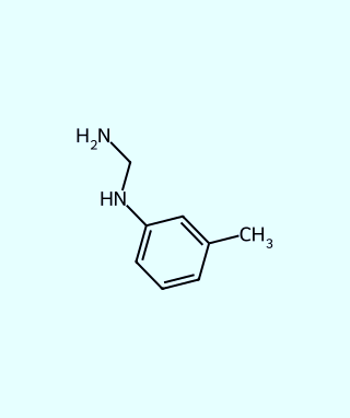 Cc1cccc(NCN)c1